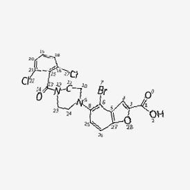 O=C(O)c1cc2c(Br)c(N3CCN(C(=O)c4c(Cl)cccc4Cl)CC3)ccc2o1